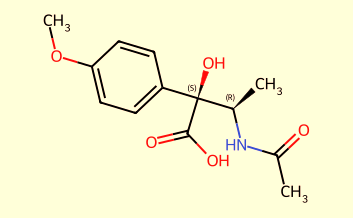 COc1ccc([C@@](O)(C(=O)O)[C@@H](C)NC(C)=O)cc1